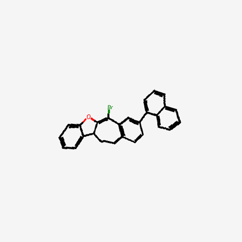 BrC1=C2Oc3ccccc3C2CCc2ccc(-c3cccc4ccccc34)cc21